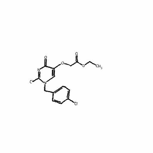 CCOC(=O)COc1cn(Cc2ccc(Cl)cc2)c(Cl)nc1=O